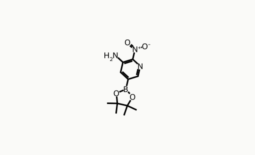 CC1(C)OB(c2cnc([N+](=O)[O-])c(N)c2)OC1(C)C